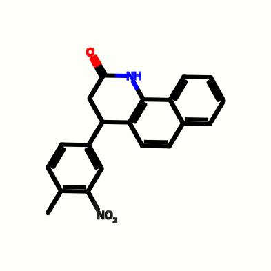 Cc1ccc(C2CC(=O)Nc3c2ccc2ccccc32)cc1[N+](=O)[O-]